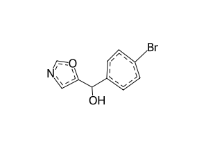 OC(c1ccc(Br)cc1)c1cnco1